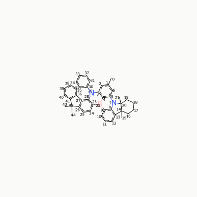 Cc1cc2c3c(c1)N1c4c(cccc4C4(C)CCCCC14C)B3c1ccc3c(c1N2c1ccccc1)-c1ccccc1C3(C)C